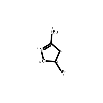 CC(C)C1CC(C(C)(C)C)=NO1